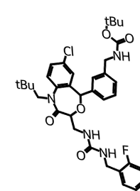 CC(C)(C)CN1C(=O)C(CNC(=O)NCc2ccccc2F)OC(c2cccc(CNC(=O)OC(C)(C)C)c2)c2cc(Cl)ccc21